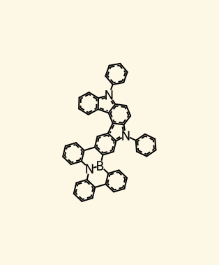 c1ccc(-n2c3ccccc3c3c4c5cc6c(cc5n(-c5ccccc5)c4ccc32)B2c3ccccc3-c3ccccc3N2c2ccccc2-6)cc1